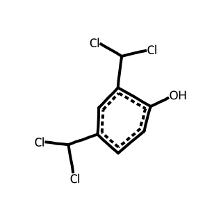 Oc1ccc(C(Cl)Cl)cc1C(Cl)Cl